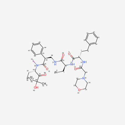 CC(C)C[C@H](NC(=O)[C@H](CCc1ccccc1)NC(=O)CN1CCOCC1)C(=O)NC[C@@H](C(=O)N(I)[C@@H](CC(C)C)C(=O)C(C)(C)O)c1ccccc1